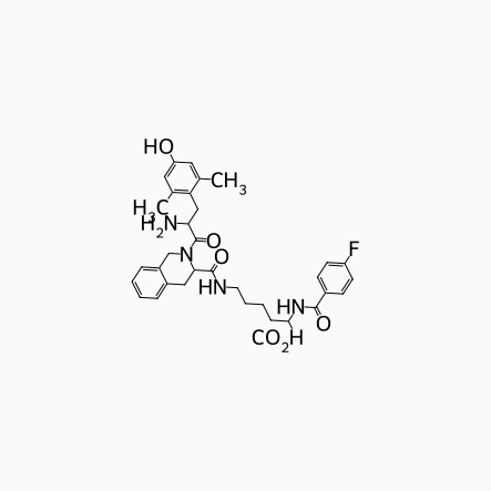 Cc1cc(O)cc(C)c1CC(N)C(=O)N1Cc2ccccc2CC1C(=O)NCCCCC(NC(=O)c1ccc(F)cc1)C(=O)O